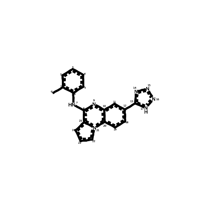 Cc1ccccc1Nc1nc2cc(-c3nnn[nH]3)ccc2n2cccc12